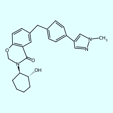 Cn1cc(-c2ccc(Cc3ccc4c(c3)C(=O)N([C@@H]3CCCC[C@H]3O)CO4)cc2)cn1